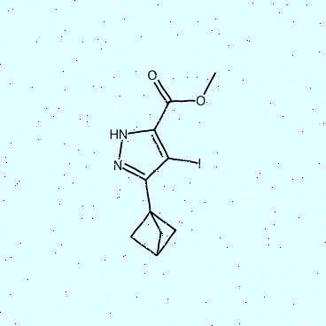 COC(=O)c1[nH]nc(C23CC(C2)C3)c1I